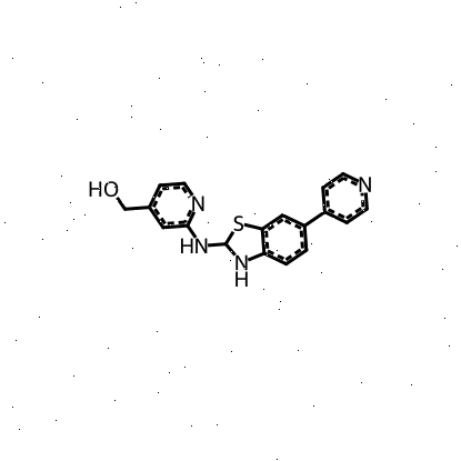 OCc1ccnc(NC2Nc3ccc(-c4ccncc4)cc3S2)c1